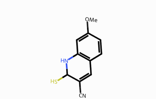 COc1ccc2c(c1)NC(S)C(C#N)=C2